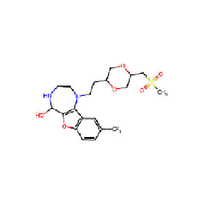 CS(=O)(=O)CC1COC(CCN2CCNC(O)c3oc4ccc(C(F)(F)F)cc4c32)CO1